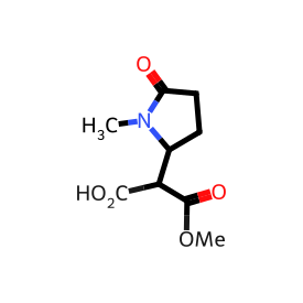 COC(=O)C(C(=O)O)C1CCC(=O)N1C